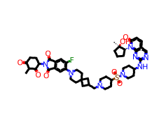 CC1C(=O)CCC(N2C(=O)c3cc(F)c(N4CCC5(CC4)CC(CN4CCC(S(=O)(=O)N6CCC(Nc7ncc8ccc(=O)n([C@@H]9CCC[C@@]9(C)O)c8n7)CC6)CC4)C5)cc3C2=O)C1=O